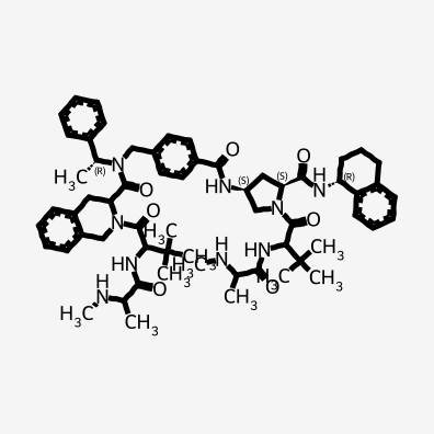 CNC(C)C(=O)NC(C(=O)N1Cc2ccccc2CC1C(=O)N(Cc1ccc(C(=O)N[C@H]2C[C@@H](C(=O)N[C@@H]3CCCc4ccccc43)N(C(=O)C(NC(=O)C(C)NC)C(C)(C)C)C2)cc1)[C@H](C)c1ccccc1)C(C)(C)C